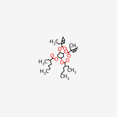 CCCCC(CC)C(=O)OC1CC(OC(=O)C2(CC)C3C4CC432)C(OC(=O)C2(CC)C3C4CC432)CC1OC(=O)C(CC)CCCC